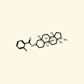 CC[C@]12CC[C@H]3[C@@H](CC[C@H]4C[C@H](OC(=O)c5ccccc5I)CC[C@@H]43)[C@@H]1CC[C@@H]2C(C)=O